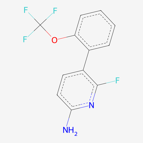 Nc1ccc(-c2ccccc2OC(F)(F)F)c(F)n1